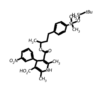 CC1=C(C(=O)O)C(c2cccc([N+](=O)[O-])c2)C(C(=O)OC(C)CCc2ccc([Si](C)(C)O[SiH2]C(C)(C)C)cc2)=C(C)N1